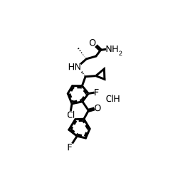 C[C@H](CC(N)=O)N[C@@H](c1ccc(Cl)c(C(=O)c2ccc(F)cc2)c1F)C1CC1.Cl